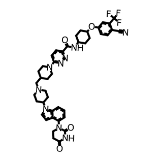 N#Cc1ccc(OC2CCC(NC(=O)c3ccc(N4CCC(CN5CCC(n6ccc7c(N8CCC(=O)NC8=O)cccc76)CC5)CC4)nn3)CC2)cc1C(F)(F)F